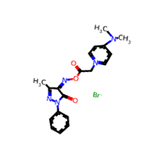 CC1=NN(c2ccccc2)C(=O)C1=NOC(=O)C[n+]1ccc(N(C)C)cc1.[Br-]